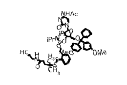 C#CCNC(=O)CCC(C)(C)SSc1ccccc1CCOP(OC1CC(n2ccc(NC(C)=O)nc2=O)OC1COC(c1ccccc1)(c1ccc(OC)cc1)c1ccc(OC)cc1)N(C(C)C)C(C)C